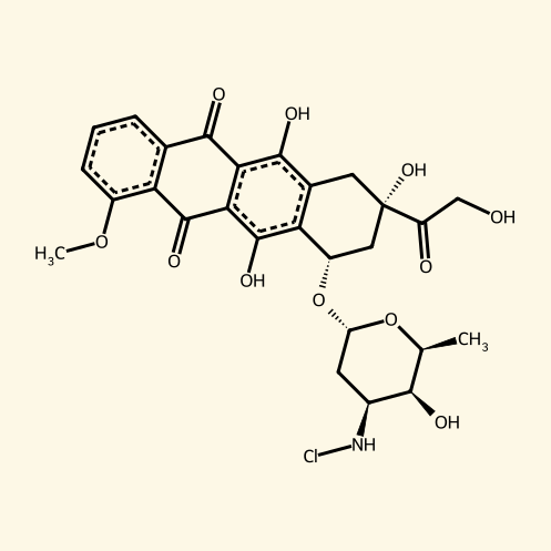 COc1cccc2c1C(=O)c1c(O)c3c(c(O)c1C2=O)C[C@@](O)(C(=O)CO)C[C@@H]3O[C@H]1C[C@H](NCl)[C@H](O)[C@H](C)O1